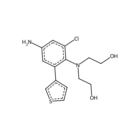 Nc1cc(Cl)c(N(CCO)CCO)c(-c2ccsc2)c1